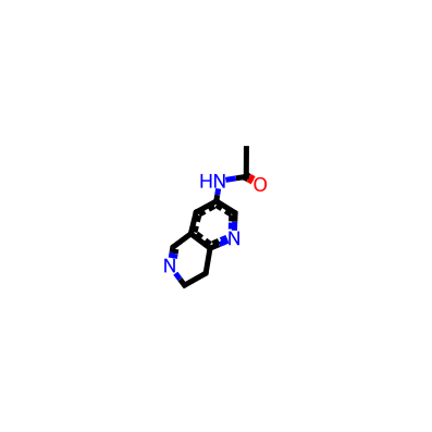 CC(=O)Nc1cnc2c(c1)C=NCC2